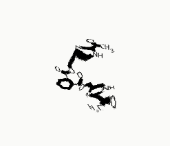 CC(=O)c1nc(COC(=O)[C@H]2CCCC[C@@H]2C(=O)OCc2c[nH]c(C(C)=O)n2)c[nH]1